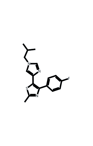 Cc1nc(-c2ccc(F)cc2)c(-c2cn(CC(C)C)cn2)s1